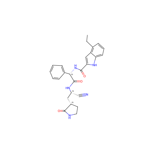 CCc1cccc2[nH]c(C(=O)N[C@H](C(=O)N[C@H](C#N)C[C@@H]3CCNC3=O)c3ccccc3)cc12